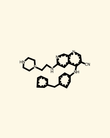 N#Cc1cnc2cnc(NCCN3CCNCC3)cc2c1Nc1ccc(Cc2ccccc2)cc1